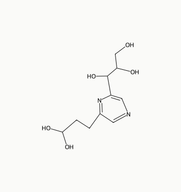 OCC(O)C(O)c1cncc(CCC(O)O)n1